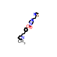 Cc1ccc(CCc2ccc(OC(=O)N3CCN(CCc4nccs4)CC3)cc2)nc1